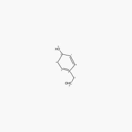 O=CCC1=CCC(O)C=C1